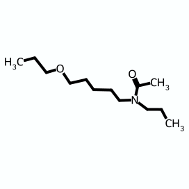 CCCOCCCCCN(CCC)C(C)=O